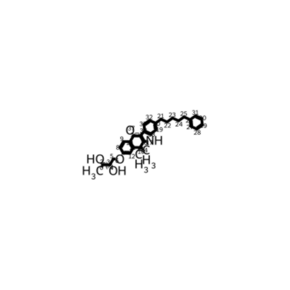 C[C@@H](O)[C@H](O)COc1ccc2c(c1)C(C)(C)c1[nH]c3cc(CCCCCc4ccccc4)ccc3c1C2=O